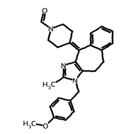 COc1ccc(Cn2c(C)nc3c2CCc2ccccc2C3=C2CCN(C=O)CC2)cc1